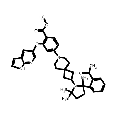 BC1(B)CCC(B)(c2ccccc2C(C)C)N1C1CC2(CCN(c3ccc(C(=O)OC)c(Oc4cnc5[nH]ccc5c4)c3)CC2)C1